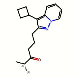 CC(C)[C@H](C)C(=O)CCCc1nn2ccccc2c1C1CCC1